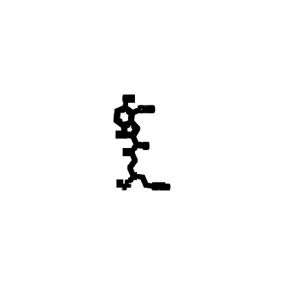 COCCN(C)CCNC(=O)c1cc2c(C=O)c(O)ccc2[nH]1